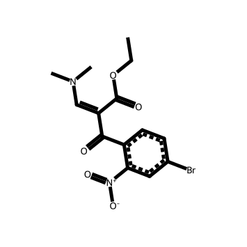 CCOC(=O)C(=CN(C)C)C(=O)c1ccc(Br)cc1[N+](=O)[O-]